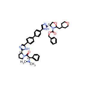 CN(C)[C@@H](C(=O)N1CCC[C@H]1c1ncc(-c2ccc(-c3ccc(-c4cnc([C@@H]5COC(CC6CCOCC6)N5C(=O)OCc5ccccc5)[nH]4)cc3)cc2)[nH]1)c1ccccc1